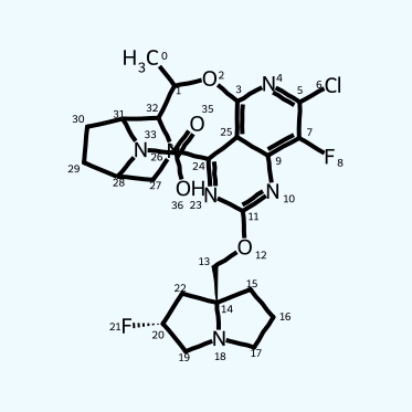 CC1Oc2nc(Cl)c(F)c3nc(OC[C@@]45CCCN4C[C@H](F)C5)nc(c23)N2CC3CCC(C12)N3C(=O)O